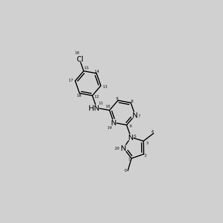 Cc1cc(C)n(-c2nccc(Nc3ccc(Cl)cc3)n2)n1